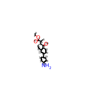 CCOC(=O)C(C)C1CCc2cc(-c3ccc(N)cc3)ccc2C1=O